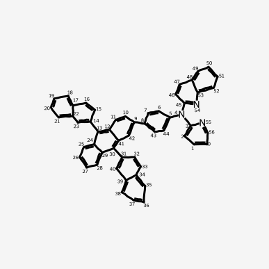 c1ccc(N(c2ccc(-c3ccc4c(-c5ccc6ccccc6c5)c5ccccc5c(-c5ccc6ccccc6c5)c4c3)cc2)c2ccc3ccccc3n2)nc1